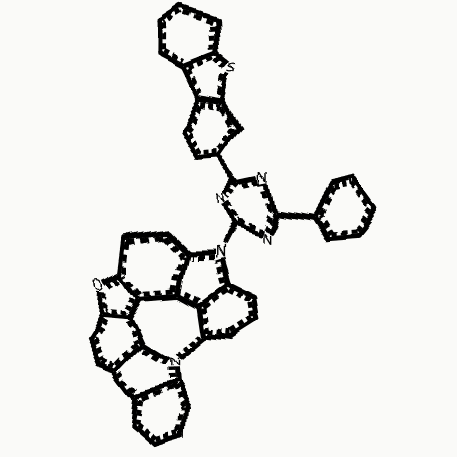 c1ccc(-c2nc(-c3ccc4c(c3)sc3ccccc34)nc(-n3c4ccc5oc6ccc7c8ccccc8n8c9cccc3c9c4c5c6c78)n2)cc1